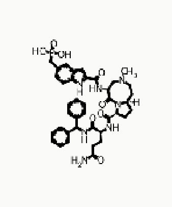 CN1CC[C@H]2CC[C@@H](C(=O)N[C@@H](CCC(N)=O)C(=O)NC(c3ccccc3)c3ccccc3)N2C(=O)[C@@H](NC(=O)c2cc3cc(CP(=O)(O)O)ccc3[nH]2)C1